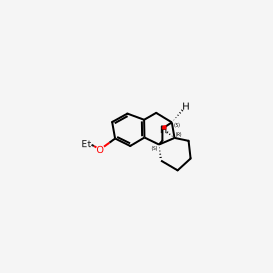 CCOc1ccc2c(c1)[C@]13CCCC[C@@H]1[C@@H](CCC3)C2